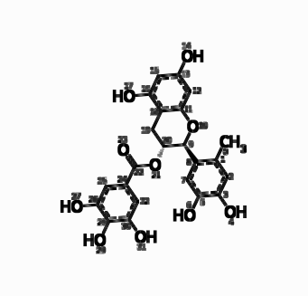 Cc1cc(O)c(O)cc1[C@@H]1Oc2cc(O)cc(O)c2C[C@H]1OC(=O)c1cc(O)c(O)c(O)c1